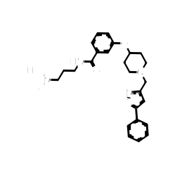 CN(C)CCCNC(=O)c1cccc(OC2CCN(Cc3cc(-c4ccccc4)on3)CC2)c1